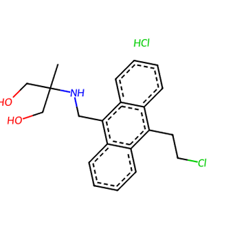 CC(CO)(CO)NCc1c2ccccc2c(CCCl)c2ccccc12.Cl